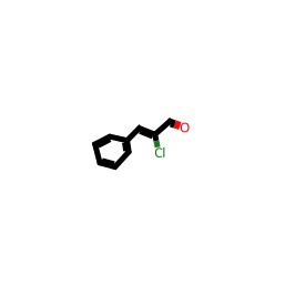 O=[C]C(Cl)=[C]c1ccccc1